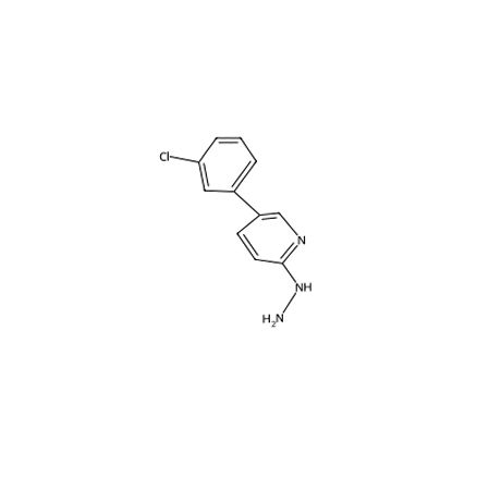 NNc1ccc(-c2cccc(Cl)c2)cn1